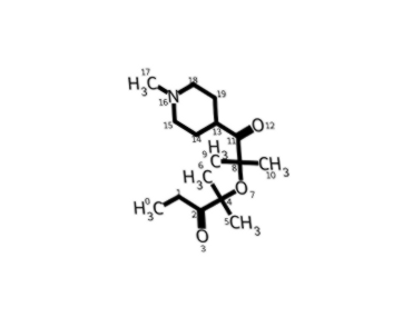 CCC(=O)C(C)(C)OC(C)(C)C(=O)C1CCN(C)CC1